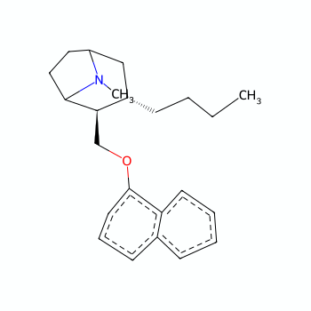 CCCC[C@H]1CC2CCC([C@@H]1COc1cccc3ccccc13)N2C